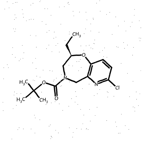 CC[C@@H]1CN(C(=O)OC(C)(C)C)Cc2nc(Cl)ccc2O1